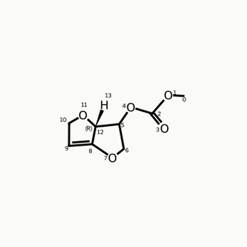 COC(=O)OC1COC2=CCO[C@@H]21